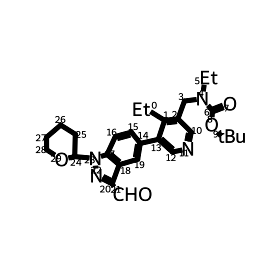 CCc1c(CN(CC)C(=O)OC(C)(C)C)cncc1-c1ccc2c(c1)c(C=O)nn2C1CCCCO1